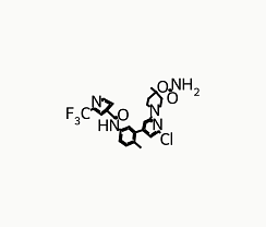 Cc1ccc(NC(=O)c2ccnc(C(F)(F)F)c2)cc1-c1cc(Cl)nc(N2CCC(C)(OC(N)=O)CC2)c1